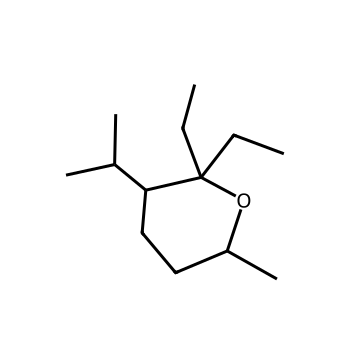 CCC1(CC)OC(C)CCC1C(C)C